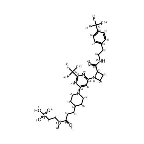 CN(CCS(=O)(=O)O)C(=O)CCC1CCN(c2cc(N3CCC3C(=O)NCCc3ccc(C(F)(F)F)cc3)nc(C(F)(F)F)n2)CC1